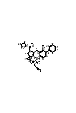 N#CCS(=O)(=O)N[C@@H]1[C@H](Cc2cccc(-c3ccccc3)c2F)N(C(=O)[C@H]2CCO2)CC12CC2